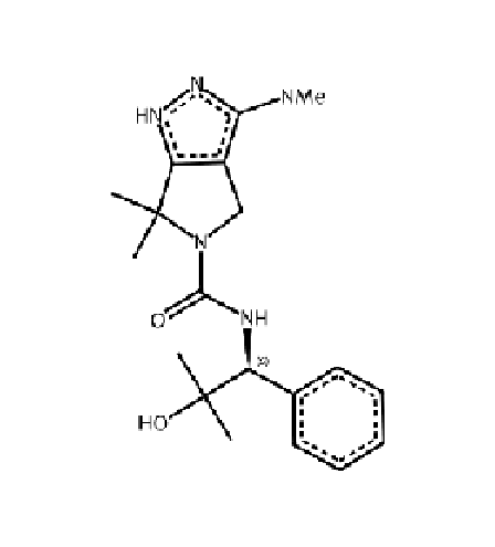 CNc1n[nH]c2c1CN(C(=O)N[C@@H](c1ccccc1)C(C)(C)O)C2(C)C